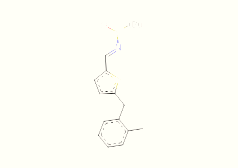 Cc1ccccc1Cc1ccc(C=N[S+]([O-])C(C)(C)C)s1